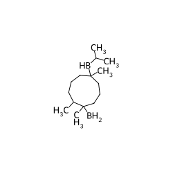 BC1(C)CCCC(C)(BC(C)C)CCCC1C